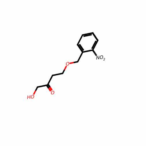 O=C(CO)CCOCc1ccccc1[N+](=O)[O-]